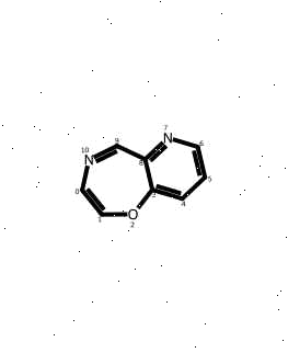 C1=COc2cccnc2C=N1